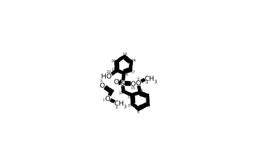 COC=O.COc1ccccc1CS(=O)(=O)c1ccccc1O